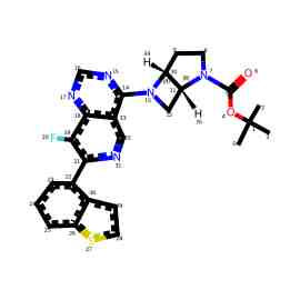 CC(C)(C)OC(=O)N1CC[C@@H]2[C@H]1CN2c1ncnc2c(F)c(-c3cccc4sccc34)ncc12